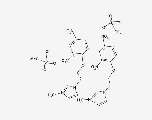 COS(=O)(=O)[O-].CS(=O)(=O)[O-].C[n+]1ccn(CCOc2ccc([N+](=O)[O-])cc2[N+](=O)[O-])c1.C[n+]1ccn(CCOc2ccc([N+](=O)[O-])cc2[N+](=O)[O-])c1